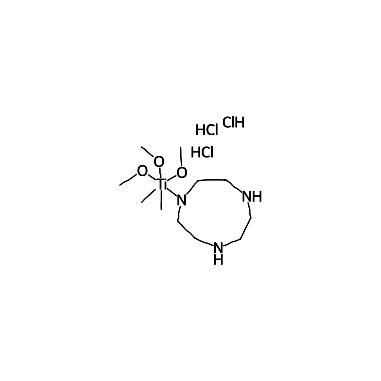 C[O][Ti]([CH3])([CH3])([O]C)([O]C)[N]1CCNCCNCC1.Cl.Cl.Cl